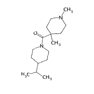 CC(C)C1CCN(C(=O)C2(C)CCN(C)CC2)CC1